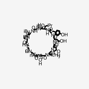 C/C=C1/NC(=O)[C@@H](CO)NC(=O)C[C@@H](CCCCC)NC(=O)CNC(=O)[C@@H](CC(C)C)NC(=O)[C@H]([C@@H](C)CC)NC(=O)[C@@H]([C@H](C)CC)NC(=O)C(CC(C)C)NC(=O)[C@@H](Cc2ccc(O)cc2)NC(=O)C(CCO)NC(=O)[C@@H]2C[C@@H](O)CN2C1=O